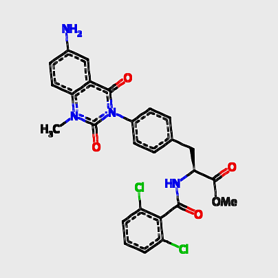 COC(=O)[C@H](Cc1ccc(-n2c(=O)c3cc(N)ccc3n(C)c2=O)cc1)NC(=O)c1c(Cl)cccc1Cl